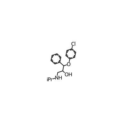 CC(C)NCC(O)C(Oc1ccc(Cl)cc1)c1ccccc1